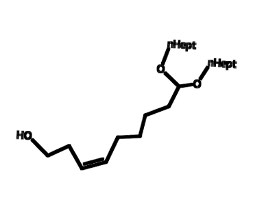 CCCCCCCOC(CCCC/C=C\CCO)OCCCCCCC